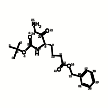 CC(C)(C)OC(=O)N[C@@H](CCCC(=O)OCc1ccccc1)C(=O)CN